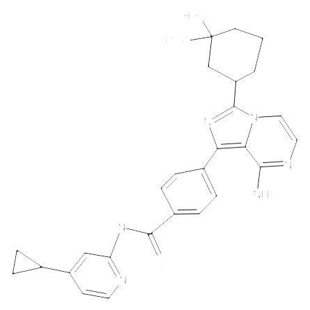 CC1(C(=O)O)CCCC(c2nc(-c3ccc(C(=O)Nc4cc(C5CC5)ccn4)cc3)c3c(N)nccn23)C1